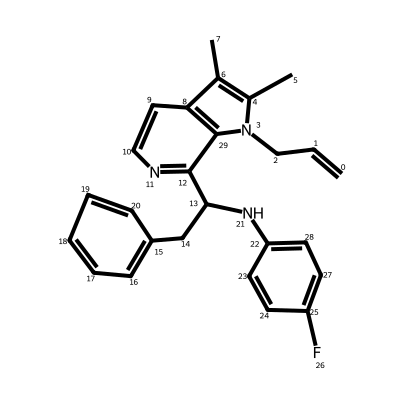 C=CCn1c(C)c(C)c2ccnc(C(Cc3ccccc3)Nc3ccc(F)cc3)c21